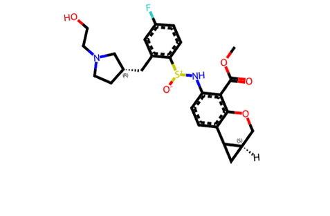 COC(=O)c1c(N[S+]([O-])c2ccc(F)cc2C[C@@H]2CCN(CCO)C2)ccc2c1OC[C@H]1CC21